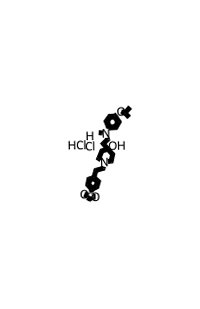 CC(C)Oc1ccc(N(C)CCC2(O)CCN(CCc3ccc(S(C)(=O)=O)cc3)CC2)cc1.Cl.Cl